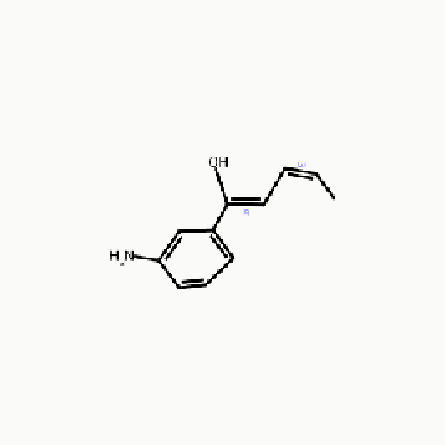 C/C=C\C=C(/O)c1cccc(N)c1